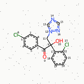 O=C(c1ccc(Cl)cc1)C(O)(Cn1cncn1)c1ccccc1Cl